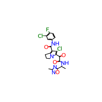 Cc1noc(C(C)NC(=O)C(=O)c2c(Cl)c(C(=O)Nc3ccc(F)c(Cl)c3)c3n2CCC3)n1